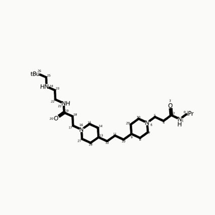 CC(C)NC(=O)CCN1CCC(CCCC2CCN(CCC(=O)NCCNCC(C)(C)C)CC2)CC1